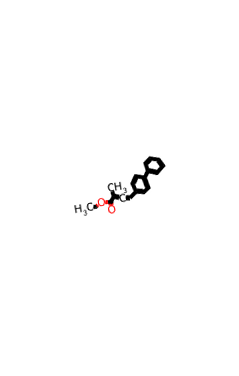 CCOC(=O)C(C)=C=Cc1ccc(-c2ccccc2)cc1